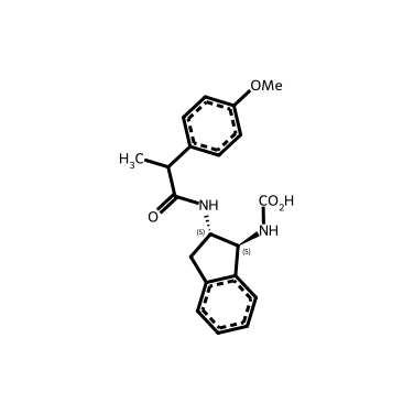 COc1ccc(C(C)C(=O)N[C@H]2Cc3ccccc3[C@@H]2NC(=O)O)cc1